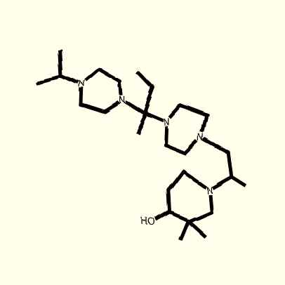 CCC(C)(N1CCN(CC(C)N2CCC(O)C(C)(C)C2)CC1)N1CCN(C(C)C)CC1